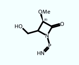 CO[C@H]1C(=O)N(P=N)C1CO